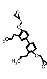 C=CCc1cc(-c2ccc(OC[C@@H]3CO3)c(CC=C)c2)ccc1OCC1CO1